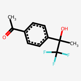 CC(=O)c1ccc(C(C)(O)C(F)(F)F)cc1